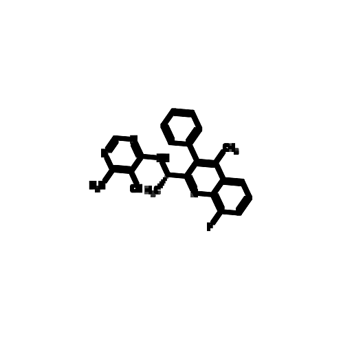 Cc1c(-c2ccccc2)c([C@H](C)Nc2ncnc(N)c2C#N)nc2c(F)cccc12